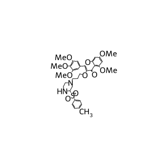 COc1cc(OC)c2c(=O)c(OCCCN3CCNC(S(=O)(=O)c4ccc(C)cc4)C3)c(-c3cc(OC)c(OC)c(OC)c3)oc2c1